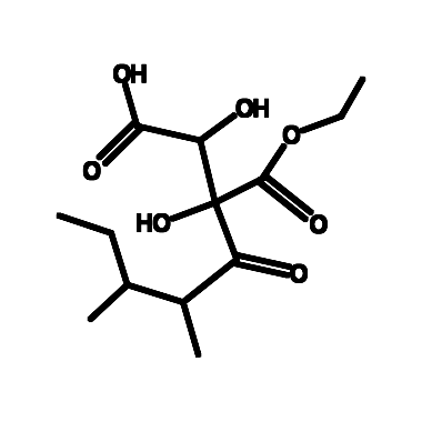 CCOC(=O)C(O)(C(=O)C(C)C(C)CC)C(O)C(=O)O